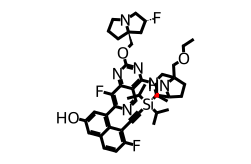 CCOCC12CCC(CN(c3nc(OC[C@@]45CCCN4C[C@H](F)C5)nc4c(F)c(-c5cc(O)cc6ccc(F)c(C#C[Si](C(C)C)(C(C)C)C(C)C)c56)ncc34)C1)N2